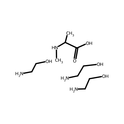 CNC(C)C(=O)O.NCCO.NCCO.NCCO